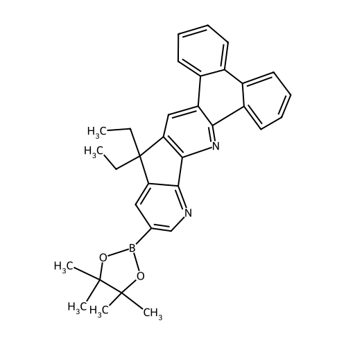 CCC1(CC)c2cc(B3OC(C)(C)C(C)(C)O3)cnc2-c2nc3c4ccccc4c4ccccc4c3cc21